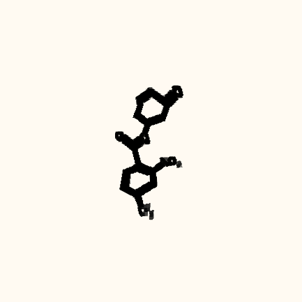 O=C1C=C(OC(=O)c2ccc(C(F)(F)F)cc2[N+](=O)[O-])CCC1